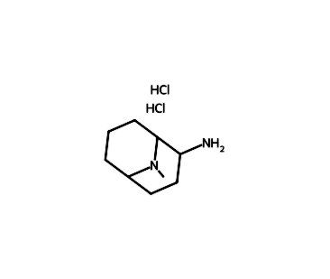 CN1C2CCCC1C(N)CC2.Cl.Cl